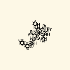 CCC(C)C(NC(=O)C(CC(C)C)NC(=O)c1cnccn1)C(=O)NC(CC1CCCCC1)C(=O)NC(CC(F)F)C(=O)C(=O)NCC(=O)NS(=O)(=O)c1cccc(-c2ccc(C)cc2)c1